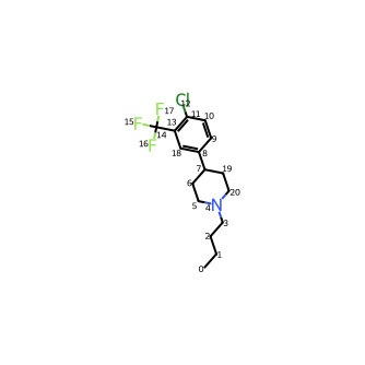 CCCCN1CCC(c2ccc(Cl)c(C(F)(F)F)c2)CC1